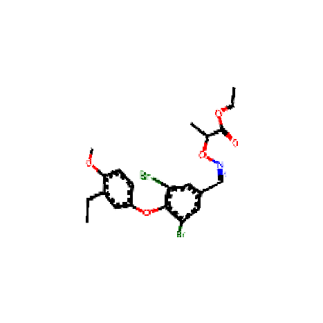 CCOC(=O)C(C)O/N=C\c1cc(Br)c(Oc2ccc(OC)c(CC)c2)c(Br)c1